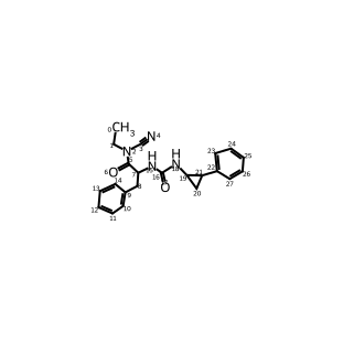 CCN(C#N)C(=O)C(Cc1ccccc1)NC(=O)NC1CC1c1ccccc1